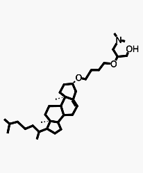 CC(C)CCCC(C)C1CCC2C3CC=C4C[C@@H](OCCCCOC(CO)CN(C)C)CC[C@]4(C)C3CC[C@]12C